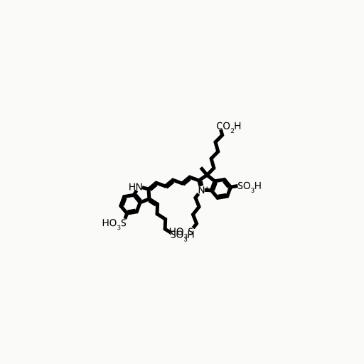 CC1(CCCCCC(=O)O)C(/C=C/C=C/C=c2/[nH]c3ccc(S(=O)(=O)O)cc3/c2=C\CCCS(=O)(=O)O)=[N+](CCCCS(=O)(=O)O)c2ccc(S(=O)(=O)O)cc21